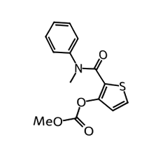 COC(=O)Oc1ccsc1C(=O)N(C)c1ccccc1